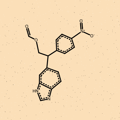 O=COCC(c1ccc([N+](=O)[O-])cc1)c1ccc2nc[nH]c2c1